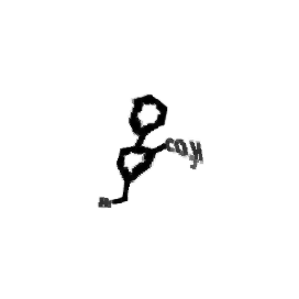 O=C(O)c1cc(CBr)ccc1-c1ccccc1